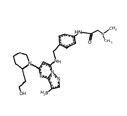 Bc1cnn2c(NCc3ccc(NC(=O)CN(C)C)cc3)cc(N3CCCCC3CCO)nc12